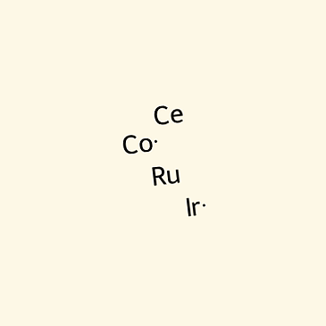 [Ce].[Co].[Ir].[Ru]